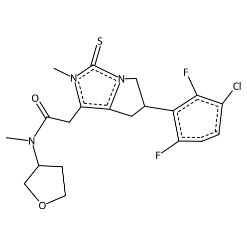 CN(C(=O)Cc1c2n(c(=S)n1C)CC(c1c(F)ccc(Cl)c1F)C2)C1CCOC1